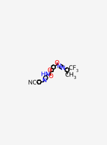 Cc1cc(N2CCN(C(=O)c3ccc4oc(C(=O)NC5CCN(Cc6ccc(C#N)cc6)CC5)cc4c3)CC2)cc(C(F)(F)F)c1